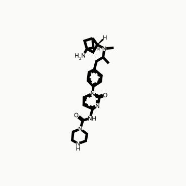 CC(Cc1ccc(-n2ccc(NC(=O)N3CCNCC3)nc2=O)cc1)N(C)[C@@H]1CC2(N)CC1C2